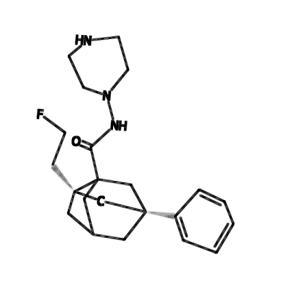 O=C(NN1CCNCC1)C12CC3C[C@](c4ccccc4)(C1)C[C@@]2(CCF)C3